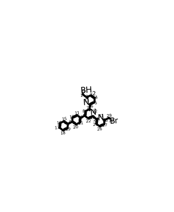 BCc1cccc(-c2cc(-c3ccc(-c4ccccc4)cc3)cc(-c3cccc(CBr)n3)n2)n1